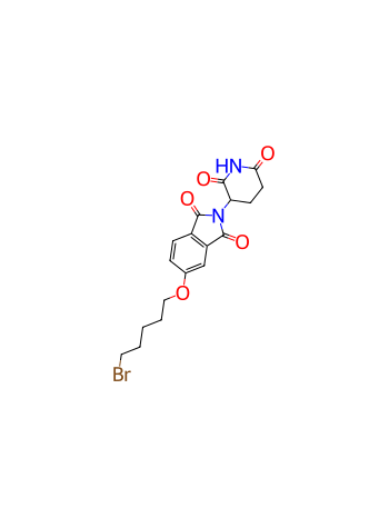 O=C1CCC(N2C(=O)c3ccc(OCCCCCBr)cc3C2=O)C(=O)N1